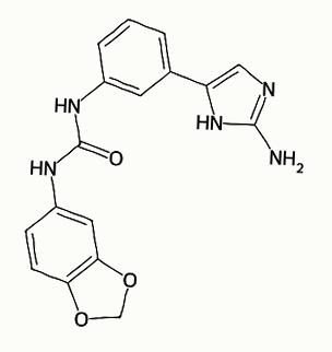 Nc1ncc(-c2cccc(NC(=O)Nc3ccc4c(c3)OCO4)c2)[nH]1